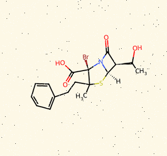 CC(O)[C@@H]1C(=O)N2[C@@H]1SC(C)(CCc1ccccc1)[C@]2(Br)C(=O)O